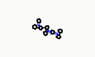 c1ccc(-n2c3ccccc3c3ccc(-c4cccc5c4c4ccccc4n5-c4ccc(-n5c6ccccc6c6ccccc65)cc4)cc32)cc1